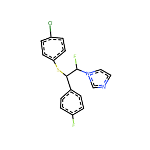 Fc1ccc(C(Sc2ccc(Cl)cc2)C(F)n2ccnc2)cc1